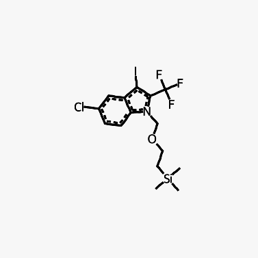 C[Si](C)(C)CCOCn1c(C(F)(F)F)c(I)c2cc(Cl)ccc21